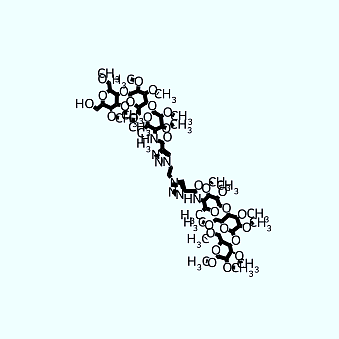 COCC1OC(OC2C(COC)OC(CO)[C@H](OC)C2OC)C(OC)C(OC)C1OC1OC(C)C(NC(=O)c2cn(CCn3cc(C(=O)NC4C(C)OC(OC5C(COC)OC(OC6C(COC)OC(OC)C(OC)[C@@H]6OC)C(OC)C5OC)C(OC)C4OC)nn3)nn2)C(OC)C1OC